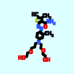 Cc1cc(N(CCCOCCO)CCOCCO)ccc1/N=N/c1sc(C#N)c(C)c1C(N)=O